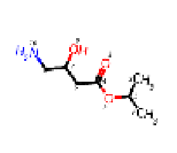 CC(C)OC(=O)CC(O)CN